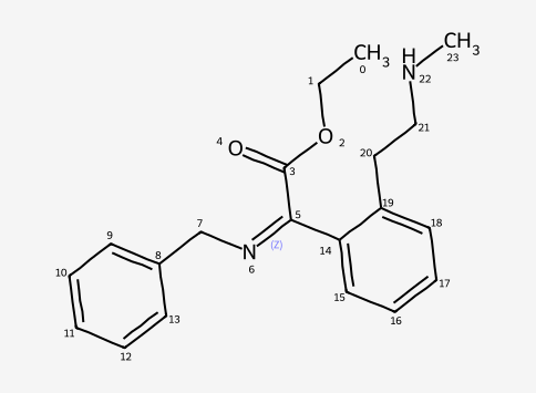 CCOC(=O)/C(=N\Cc1ccccc1)c1ccccc1CCNC